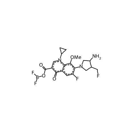 COc1c(N2CC(N)C(CF)C2)c(F)cc2c(=O)c(C(=O)OB(F)F)cn(C3CC3)c12